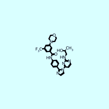 C[C@H](O)CNc1nccc(-n2ccnc2-c2ccc(NC(=O)c3cc(N4CCOCC4)cc(C(F)(F)F)c3)cc2)n1